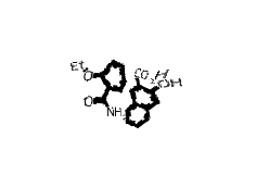 CCOc1ccccc1C(N)=O.O=C(O)c1cc2ccccc2cc1O